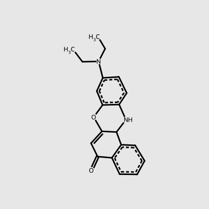 CCN(CC)c1ccc2c(c1)OC1=CC(=O)c3ccccc3C1N2